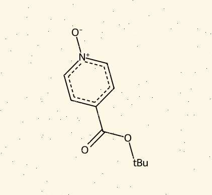 CC(C)(C)OC(=O)c1cc[n+]([O-])cc1